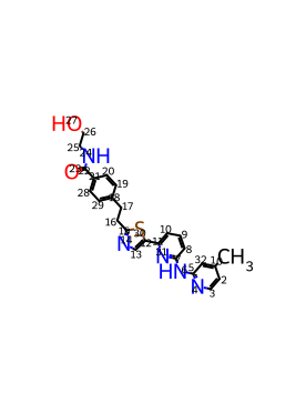 Cc1ccnc(Nc2cccc(-c3cnc(CCc4ccc(C(=O)NCCO)cc4)s3)n2)c1